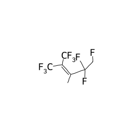 CC(=C(C(F)(F)F)C(F)(F)F)C(F)(F)CF